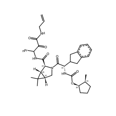 C=CCNC(=O)C(=O)C(CCC)NC(=O)[C@@H]1[C@@H]2[C@H](CN1C(=O)[C@@H](NC(=O)O[C@@H]1CCC[C@@H]1C)C1Cc3ccccc3C1)C2(C)C